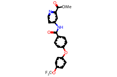 COC(=O)c1cc(NC(=O)c2ccc(Oc3ccc(OC(F)(F)F)cc3)cc2)ccn1